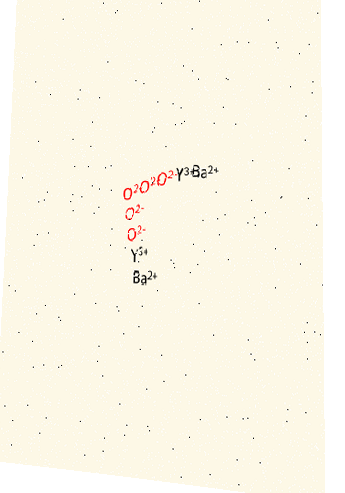 [Ba+2].[Ba+2].[O-2].[O-2].[O-2].[O-2].[O-2].[Y+3].[Y+3]